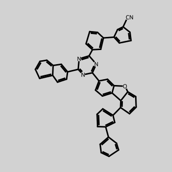 N#Cc1cccc(-c2cccc(-c3nc(-c4ccc5ccccc5c4)nc(-c4ccc5c(c4)oc4cccc(-c6cccc(-c7ccccc7)c6)c45)n3)c2)c1